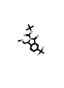 COCC1c2ccc(C(F)(F)F)cc2C(=O)N1C(=O)OC(C)(C)C